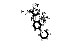 CC(C)n1ncc(/N=C2/C=CC(=[N+]3CCCCC3)C=C2NS(C)(=O)=O)c1N